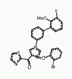 COc1c(F)cccc1-c1cccc(-n2cnc(C(=O)c3nccs3)c2)c1.COc1ccccc1Br